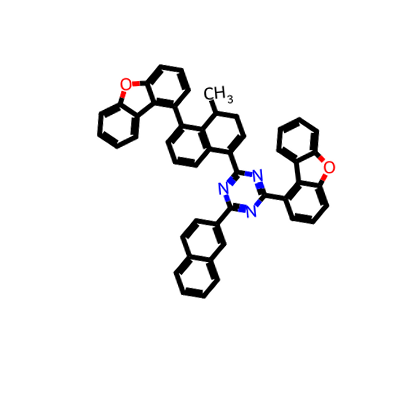 CC1CC=C(c2nc(-c3ccc4ccccc4c3)nc(-c3cccc4oc5ccccc5c34)n2)c2cccc(-c3cccc4oc5ccccc5c34)c21